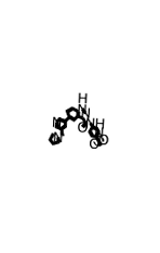 CS(=O)(=O)c1ccc(NC(=O)c2n[nH]c3ccc(-c4cncc(CN5CCCC5)c4)cc23)cn1